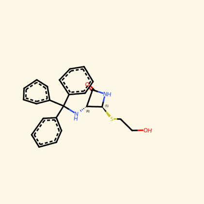 O=C1N[C@@H](SCCO)[C@@H]1NC(c1ccccc1)(c1ccccc1)c1ccccc1